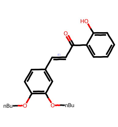 CCCCOc1ccc(/C=C/C(=O)c2ccccc2O)cc1OCCCC